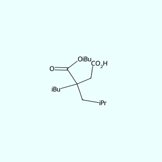 CCC(C)C(CC(=O)O)(CC(C)C)C(=O)OCC(C)C